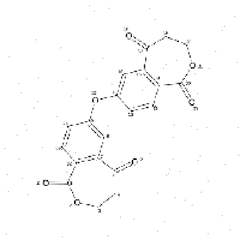 O=C1OCCC(=O)c2cc(Oc3c[c]c4c(c3)C(=O)CCOC4=O)c[c]c21